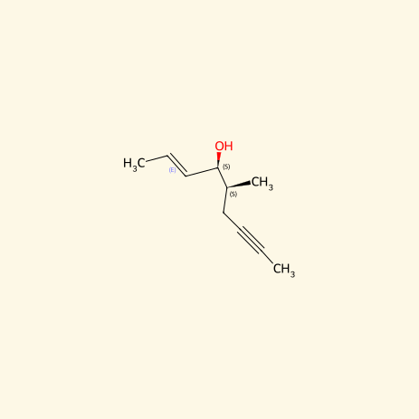 CC#CC[C@H](C)[C@H](O)/C=C/C